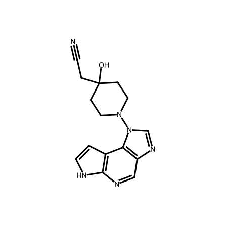 N#CCC1(O)CCN(n2cnc3cnc4[nH]ccc4c32)CC1